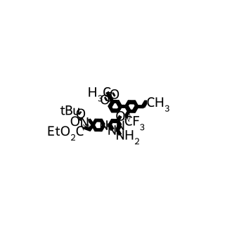 CC=Cc1ccc(-c2cccc(S(C)(=O)=O)c2)c([C@@H](Oc2cc(N3CCC4(CC3)C[C@@H](C(=O)OCC)N(C(=O)OC(C)(C)C)C4)nc(N)n2)C(F)(F)F)c1